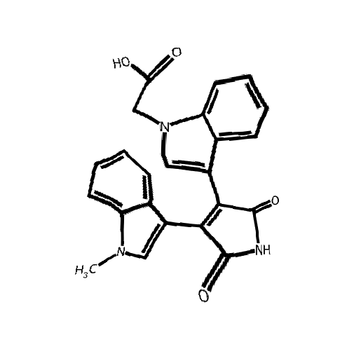 Cn1cc(C2=C(c3cn(CC(=O)O)c4ccccc34)C(=O)NC2=O)c2ccccc21